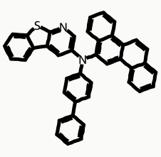 c1ccc(-c2ccc(N(c3cnc4sc5ccccc5c4c3)c3cc4c5ccccc5ccc4c4ccccc34)cc2)cc1